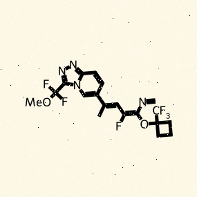 C=N/C(OC1(C(F)(F)F)CCC1)=C(F)\C=C(/C)c1ccc2nnc(C(F)(F)OC)n2c1